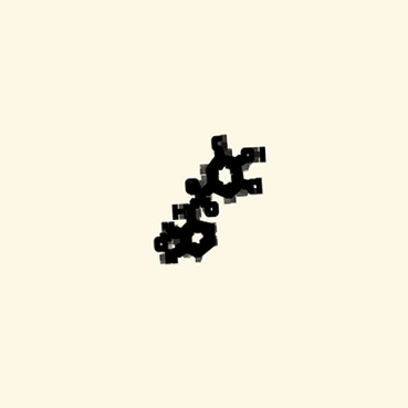 O=S(=O)(Nc1cccc2nonc12)c1cc(Cl)c(O)c(Cl)c1